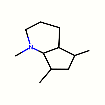 CC1CC(C)C2C1CCCN2C